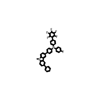 Cn1c2ccc(-c3ccccc3)cc2c2cc(-c3ccc(N(c4ccc(F)cc4)c4ccc(-c5c(F)c(F)c(F)c(F)c5F)cc4)cc3)ccc21